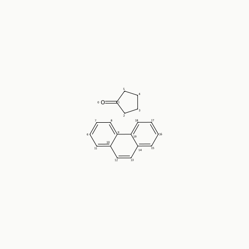 O=C1CCCC1.c1ccc2c(c1)ccc1ccccc12